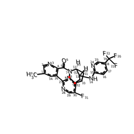 Cc1cnc(C(=O)N2CC3CC[C@H]2[C@H](Nc2ccc(C(F)(F)F)cn2)C3)c(-c2ncc(F)cn2)c1